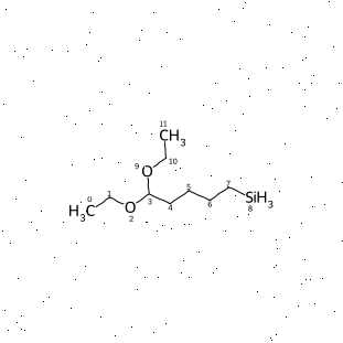 CCOC(CCCC[SiH3])OCC